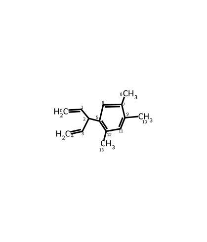 C=CC(C=C)c1cc(C)c(C)cc1C